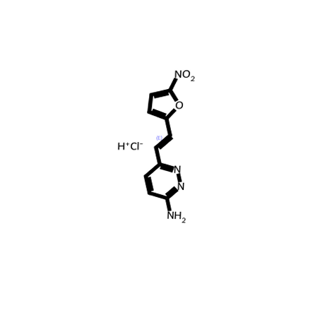 Nc1ccc(/C=C/c2ccc([N+](=O)[O-])o2)nn1.[Cl-].[H+]